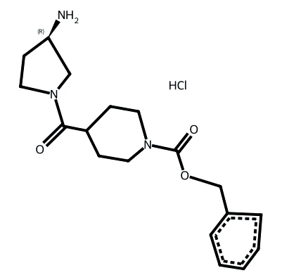 Cl.N[C@@H]1CCN(C(=O)C2CCN(C(=O)OCc3ccccc3)CC2)C1